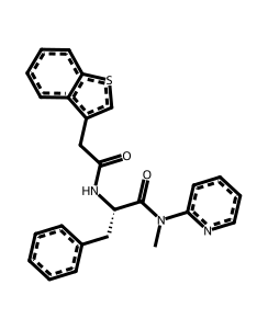 CN(C(=O)[C@H](Cc1ccccc1)NC(=O)Cc1csc2ccccc12)c1ccccn1